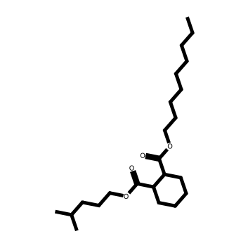 CCCCCCCCCOC(=O)C1CCCCC1C(=O)OCCCC(C)C